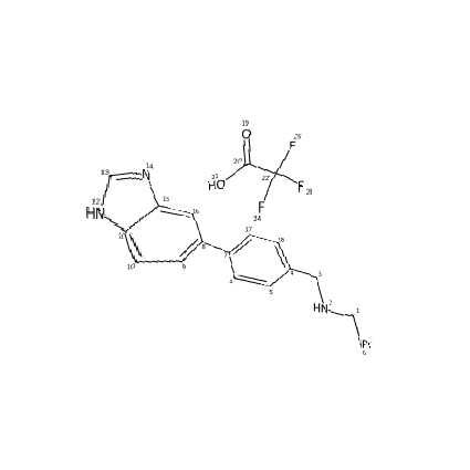 CC(C)CNCc1ccc(-c2ccc3[nH]cnc3c2)cc1.O=C(O)C(F)(F)F